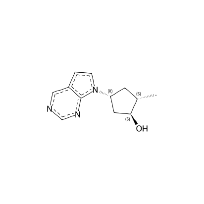 [CH2][C@H]1C[C@@H](n2ccc3cncnc32)C[C@@H]1O